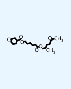 CC(CCC1OC1C)COC(=O)CCCCCOC(=O)C1CCC2OC2C1